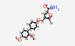 COc1ccc(-c2ccc(OCc3cc(C(N)=O)oc3C)cc2)c(OC)c1